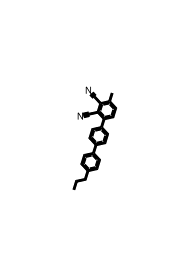 CCCc1ccc(-c2ccc(-c3ccc(C)c(C#N)c3C#N)cc2)cc1